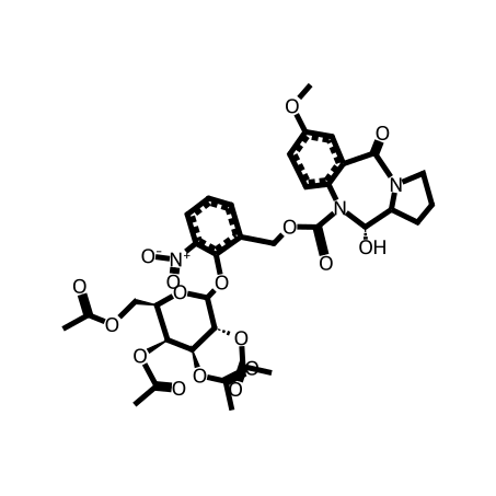 COc1ccc2c(c1)C(=O)N1CCCC1[C@H](O)N2C(=O)OCc1cccc([N+](=O)[O-])c1OC1O[C@H](COC(C)=O)[C@H](OC(C)=O)[C@H](OC(C)=O)[C@H]1OC(C)=O